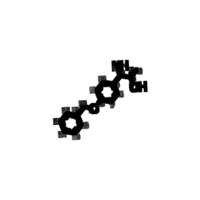 CC(O)C(N)c1ccc(OCc2ccccc2)cc1